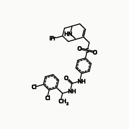 CC(NC(=O)Nc1ccc(S(=O)(=O)CC2=CCC3CC(C(C)C)CC2N3)cc1)c1cccc(Cl)c1Cl